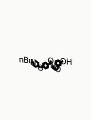 CCCCN1CCC(Oc2ccc(C(=O)N3CCOc4cc(O)ccc43)cc2)CC1